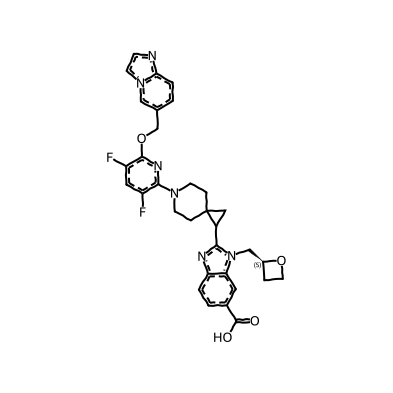 O=C(O)c1ccc2nc(C3CC34CCN(c3nc(OCc5ccc6nccn6c5)c(F)cc3F)CC4)n(C[C@@H]3CCO3)c2c1